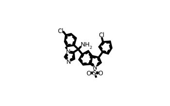 Cn1cncc1C(N)(c1ccc(Cl)cc1)c1ccc2c(c1)c(-c1cccc(Cl)c1)cn2S(C)(=O)=O